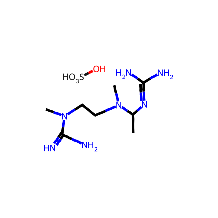 CC(N=C(N)N)N(C)CCN(C)C(=N)N.O=S(=O)(O)O